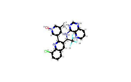 Cc1cc(-c2nc3c(Cl)cccc3cc2[C@@H](Nc2ncnc3cccnc23)C(F)(F)F)c[n+]([O-])c1